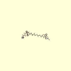 CC1(CCCCCCCCCCCCS(=O)(=O)CCCBr)COC1